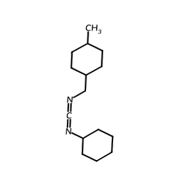 CC1CCC(CN=C=NC2CCCCC2)CC1